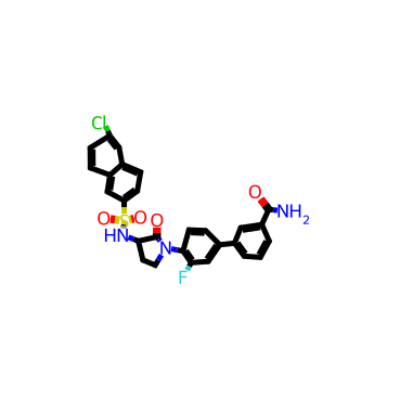 NC(=O)c1cccc(-c2ccc(N3CCC(NS(=O)(=O)c4ccc5cc(Cl)ccc5c4)C3=O)c(F)c2)c1